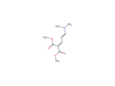 COC(=O)C(=CC=CN(C)C)C(=O)OC